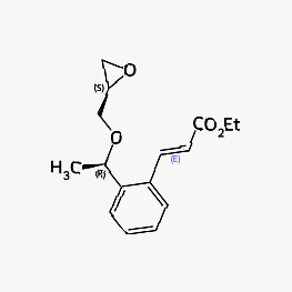 CCOC(=O)/C=C/c1ccccc1[C@@H](C)OC[C@H]1CO1